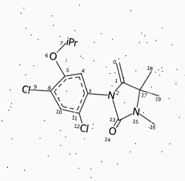 C=C1N(c2cc(OC(C)C)c(Cl)cc2Cl)C(=O)N(C)C1(C)C